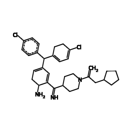 C=C(CC1CCCC1)N1CCC(C(=N)C2=CC(C(C3=CC=C(Cl)CC3)c3ccc(Cl)cc3)=CCC2N)CC1